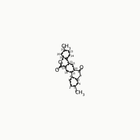 Cc1ccc2c(c1)CC(=O)c1cc3c(cc1-2)c(=O)oc1cc(C)ccc13